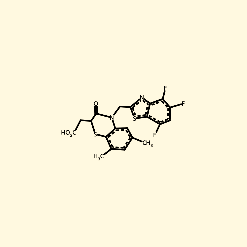 Cc1cc(C)c2c(c1)N(Cc1nc3c(F)c(F)cc(F)c3s1)C(=O)C(CC(=O)O)S2